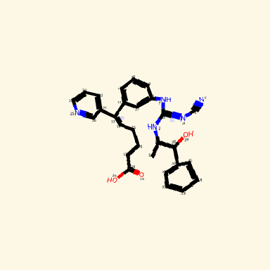 CC(N/C(=N/C#N)Nc1cccc(/C(=C\CCCC(=O)O)c2cccnc2)c1)C(O)c1ccccc1